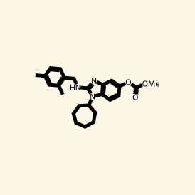 COC(=O)Oc1ccc2c(c1)nc(NCc1ccc(C)cc1C)n2C1CCCCCC1